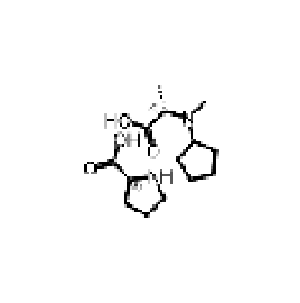 C[C@@H](C(=O)O)N(C)C1CCCC1.O=C(O)[C@@H]1CCCN1